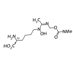 CNC(=O)OCN=C(C)N(O)CCCC[C@H](N)C(=O)O